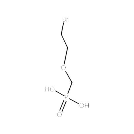 O=P(O)(O)COCCBr